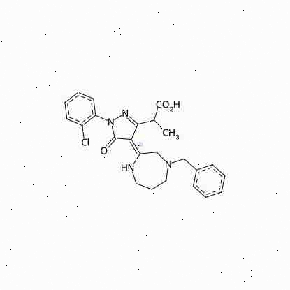 CC(C(=O)O)C1=NN(c2ccccc2Cl)C(=O)/C1=C1/CN(Cc2ccccc2)CCCN1